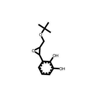 CC(C)(C)OCC1OC1c1cccc(O)c1O